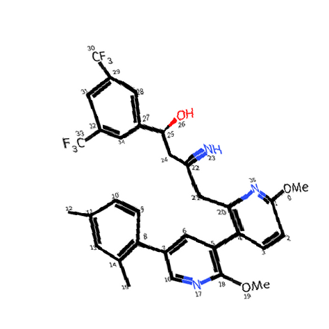 COc1ccc(-c2cc(-c3ccc(C)cc3C)cnc2OC)c(CC(=N)C[C@H](O)c2cc(C(F)(F)F)cc(C(F)(F)F)c2)n1